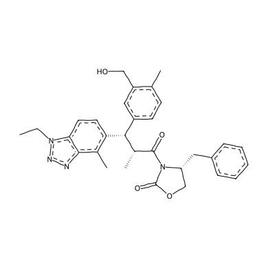 CCn1nnc2c(C)c([C@H](c3ccc(C)c(CO)c3)[C@@H](C)C(=O)N3C(=O)OC[C@H]3Cc3ccccc3)ccc21